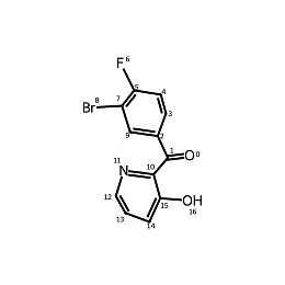 O=C(c1ccc(F)c(Br)c1)c1ncccc1O